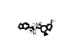 O=S(=O)(Nc1noc2c1CC1(CC1)c1ccc(Br)cc1-2)c1ccc2c(c1)CCC2